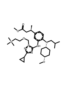 COC(=O)C[C@@H](C)c1ccc(N(CC(C)C)[C@H]2CC[C@@H](OC)CC2)c(Nc2nc(C3CC3)nn2COCC[Si](C)(C)C)c1